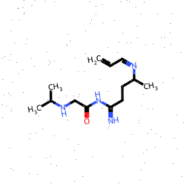 C=C/C=N\C(C)CCC(=N)NC(=O)CNC(C)C